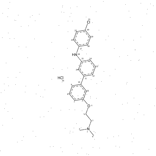 CN(C)CCOc1cccc(-c2cccc(Nc3ccc(Cl)cc3)c2)c1.Cl